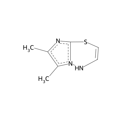 Cc1nc2n(c1C)NC=CS2